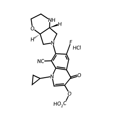 Cl.N#Cc1c(N2C[C@H]3NCCO[C@@H]3C2)c(F)cc2c(=O)c(OC(=O)O)cn(C3CC3)c12